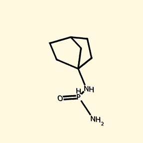 N[PH](=O)NC12CCC(CC1)C2